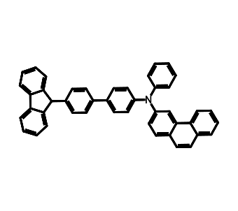 c1ccc(N(c2ccc(-c3ccc(C4c5ccccc5-c5ccccc54)cc3)cc2)c2ccc3ccc4ccccc4c3c2)cc1